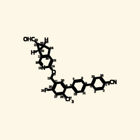 N#Cc1ccc(-c2ccc(-c3cc(COc4cc5c(cn4)[C@@H]4[C@@H](C=O)[C@@H]4C5)c(F)cc3C(F)(F)F)cc2)cc1